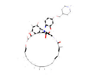 CO[C@H]1/C=C/O[C@@]2(C)Oc3c(C)c(O)c4c(=O)c(c5oc6cc(OCC7CCN(C)CC7)ccc6nc-5c4c3C2=O)NC(=O)/C(C)=C\C=C\[C@H](C)[C@H](O)[C@@H](C)[C@@H](C)[C@@H](C)[C@H](OC(C)=O)[C@@H]1C